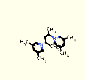 Cc1cc(C)c[n+](C(C)CC(C)[n+]2cc(C)cc(C)c2)c1